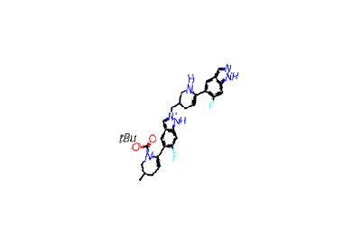 CC1CC=C(c2cc3c[n+](CC4CC=C(c5cc6cn[nH]c6cc5F)NC4)[nH]c3cc2F)N(C(=O)OC(C)(C)C)C1